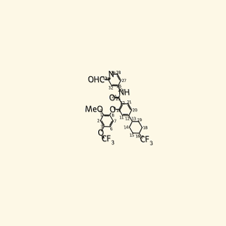 COc1cc(OC(F)(F)F)ccc1Oc1cc(C2CCC(C(F)(F)F)CC2)ccc1C(=O)Nc1ccnc(C=O)c1